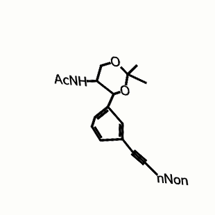 CCCCCCCCCC#Cc1cccc(C2OC(C)(C)OCC2NC(C)=O)c1